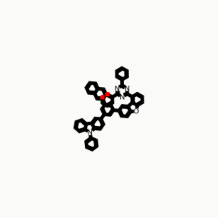 c1ccc(-c2nc(-c3ccccc3)nc(-c3cccc4oc5ccc(-c6cc(-c7ccc8ccccc8c7)cc(-c7ccc8c(c7)c7ccccc7n8-c7ccccc7)c6)cc5c34)n2)cc1